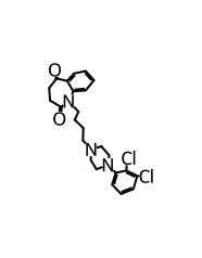 O=C1CCC(=O)N(CCCCN2CCN(c3cccc(Cl)c3Cl)CC2)c2ccccc21